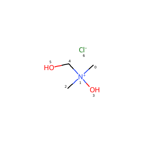 C[N+](C)(O)CO.[Cl-]